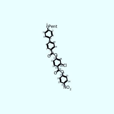 CCCCCc1ccc(-c2ccc(C(=O)Oc3ccc(C(=O)Oc4ccc([N+](=O)[O-])cc4)c(Cl)c3)cc2)cc1